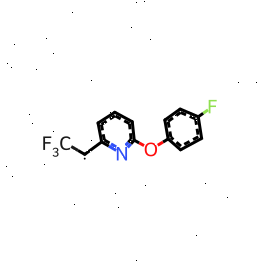 Fc1ccc(Oc2cccc([CH]C(F)(F)F)n2)cc1